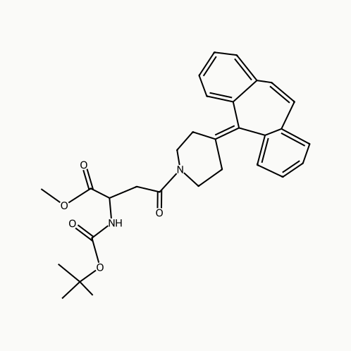 COC(=O)C(CC(=O)N1CCC(=C2c3ccccc3C=Cc3ccccc32)CC1)NC(=O)OC(C)(C)C